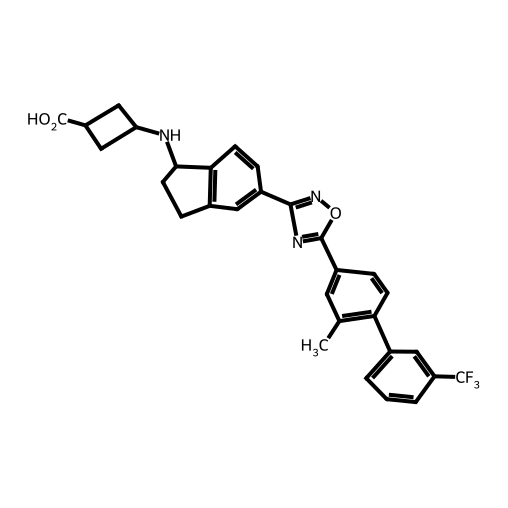 Cc1cc(-c2nc(-c3ccc4c(c3)CCC4NC3CC(C(=O)O)C3)no2)ccc1-c1cccc(C(F)(F)F)c1